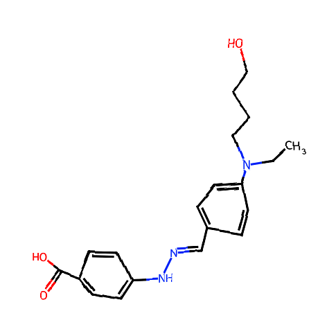 CCN(CCCCO)c1ccc(C=NNc2ccc(C(=O)O)cc2)cc1